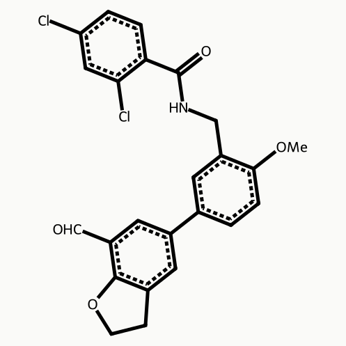 COc1ccc(-c2cc(C=O)c3c(c2)CCO3)cc1CNC(=O)c1ccc(Cl)cc1Cl